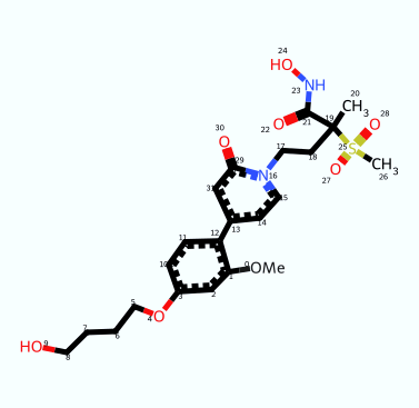 COc1cc(OCCCCO)ccc1-c1ccn(CCC(C)(C(=O)NO)S(C)(=O)=O)c(=O)c1